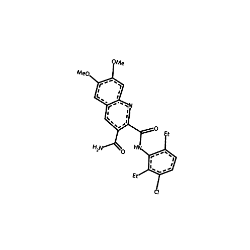 CCc1ccc(Cl)c(CC)c1NC(=O)c1nc2cc(OC)c(OC)cc2cc1C(N)=O